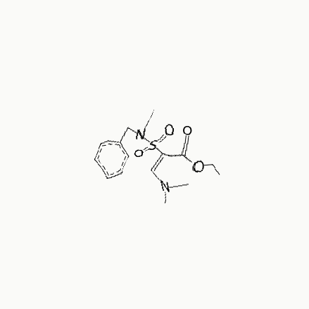 CCOC(=O)C(=CN(C)C)S(=O)(=O)N(C)Cc1ccccc1